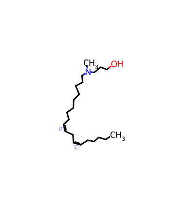 CCCCC/C=C\C/C=C\CCCCCCCCN(C)CCCO